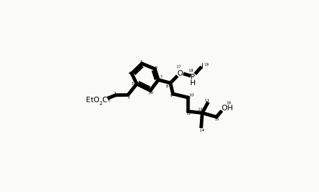 CCOC(=O)CCc1cccc(C(CCCC(C)(C)CO)OPI)c1